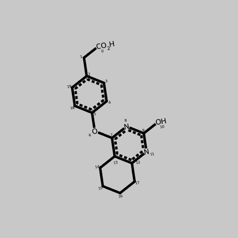 O=C(O)Cc1ccc(Oc2nc(O)nc3c2CCCC3)cc1